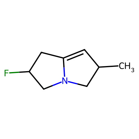 CC1C=C2CC(F)CN2C1